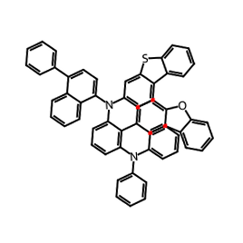 c1ccc(-c2ccc(N(c3ccc4c(c3)sc3ccccc34)c3cccc(N(c4ccccc4)c4ccccc4)c3-c3ccc4oc5ccccc5c4c3)c3ccccc23)cc1